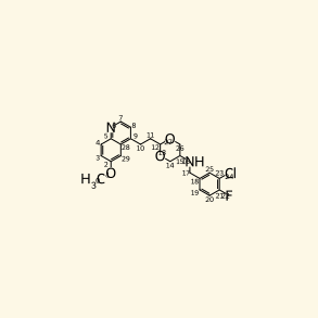 COc1ccc2nccc(CCC3OCC(NCc4ccc(F)c(Cl)c4)CO3)c2c1